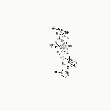 CC(=O)O[C@@H]([C@H]1C[C@@H](C)[C@H]2[C@H](O1)[C@H](O)[C@@]1(C)[C@@H]3CC[C@H]4C(C)(C)[C@@H](O[C@H]5CN(O)CCO5)CC[C@@]45C[C@@]35CC[C@]21C)C(C)(C)O